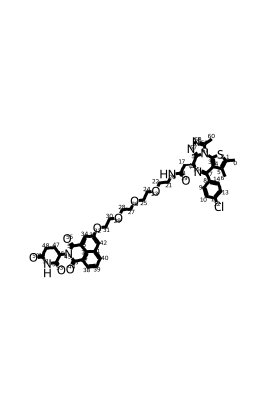 Cc1sc2c(c1C)C(c1ccc(Cl)cc1)=N[C@@H](CC(=O)NCCOCCOCCOCCOc1cc3c4c(cccc4c1)C(=O)N(C1CCC(=O)NC1=O)C3=O)c1nnc(C)n1-2